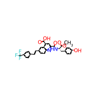 COC(=O)[C@H](Cc1ccc(O)cc1)NC(=O)c1cc(C(=O)O)c2cc(/C=C/c3ccc(C(F)(F)F)cc3)ccc2n1